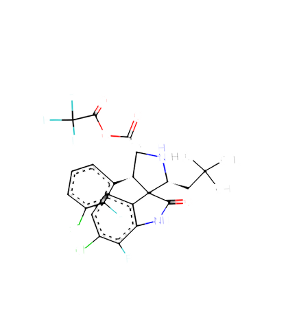 CC(C)(C)C[C@@H]1N[C@@H](C(=O)OC(=O)C(F)(F)F)[C@H](c2cccc(Cl)c2F)C12C(=O)Nc1c2ccc(Cl)c1F